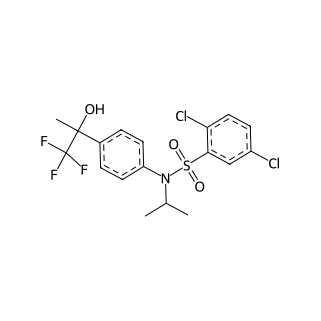 CC(C)N(c1ccc(C(C)(O)C(F)(F)F)cc1)S(=O)(=O)c1cc(Cl)ccc1Cl